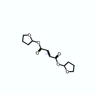 O=C(/C=C/C(=O)OC1CCCO1)OC1CCCO1